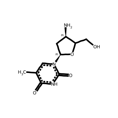 Cc1cn([C@H]2C[C@@H](N)C(CO)O2)c(=O)[nH]c1=O